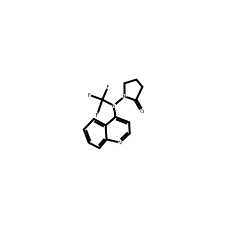 O=C1CCCN1N(c1ccnc2ccccc12)C(F)(F)F